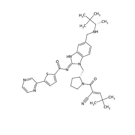 C[C@H](NCc1ccc2c(c1)[nH]c(=NC(=O)c1ccc(-c3cnccn3)s1)n2C[C@H]1CCCN1C(=O)C(C#N)=CC(C)(C)C)C(C)(C)C